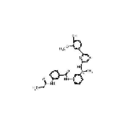 C=CC(=O)Nc1cccc(C(=O)Nc2cccc([C@H](C)Nc3cncc(-c4ccc(O)c(OC)c4)n3)c2)c1